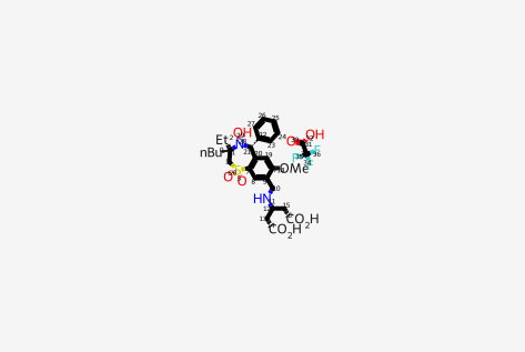 CCCC[C@]1(CC)CS(=O)(=O)c2cc(CNC(CC(=O)O)CC(=O)O)c(OC)cc2[C@@H](c2ccccc2)N1O.O=C(O)C(F)(F)F